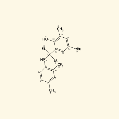 CCC(CC)(Pc1ccc(C)cc1C(F)(F)F)c1cc(C(C)(C)C)cc(C)c1O